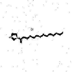 Br.CCCCCCCCCCCCCC(C)n1ccnc1